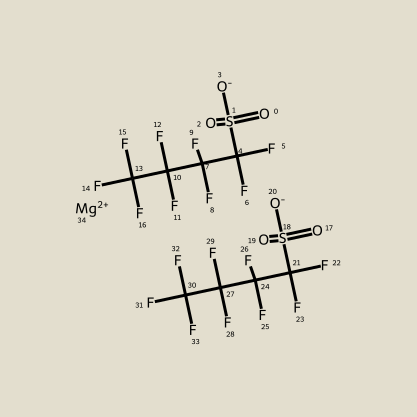 O=S(=O)([O-])C(F)(F)C(F)(F)C(F)(F)C(F)(F)F.O=S(=O)([O-])C(F)(F)C(F)(F)C(F)(F)C(F)(F)F.[Mg+2]